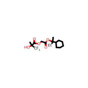 CCC(C)(OC(=O)COC(=O)C(C)(O)C(F)(F)F)C1CCCCC1